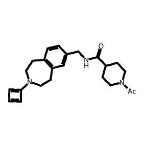 CC(=O)N1CCC(C(=O)NCc2ccc3c(c2)CCN(C2=CC=C2)CC3)CC1